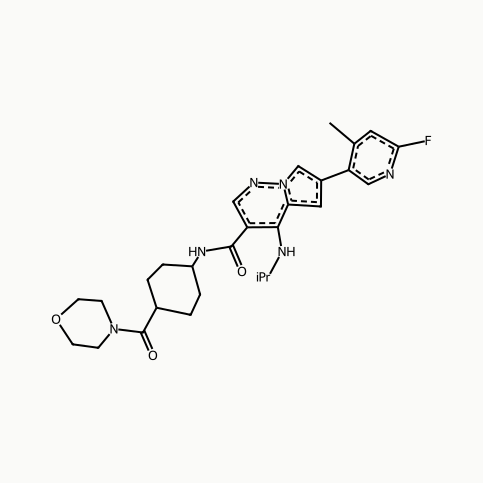 Cc1cc(F)ncc1-c1cc2c(NC(C)C)c(C(=O)NC3CCC(C(=O)N4CCOCC4)CC3)cnn2c1